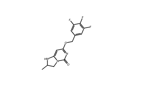 CC1Cn2c(cc(OCc3cc(F)c(F)c(F)c3)nc2=O)N1